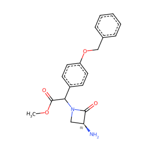 COC(=O)C(c1ccc(OCc2ccccc2)cc1)N1C[C@H](N)C1=O